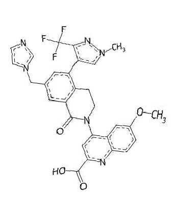 COc1ccc2nc(C(=O)O)cc(N3CCc4c(cc(Cn5ccnc5)cc4-c4cn(C)nc4C(F)(F)F)C3=O)c2c1